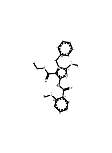 CCOC(=O)c1c(NC(=O)c2ccccc2OC)nc(SC)n1Cc1ccccc1